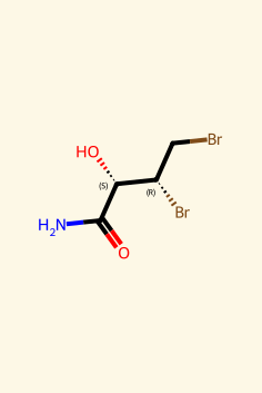 NC(=O)[C@H](O)[C@@H](Br)CBr